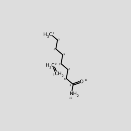 C=C.CCCCCCCC(N)=O